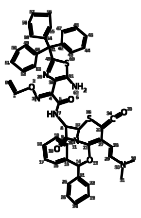 C=CON=C(C(=O)NC1C(=O)N2C(OC(c3ccccc3)c3ccccc3)=C(C=CN(C)C)C(=C=O)SC12)c1nc(C(c2ccccc2)(c2ccccc2)c2ccccc2)sc1N